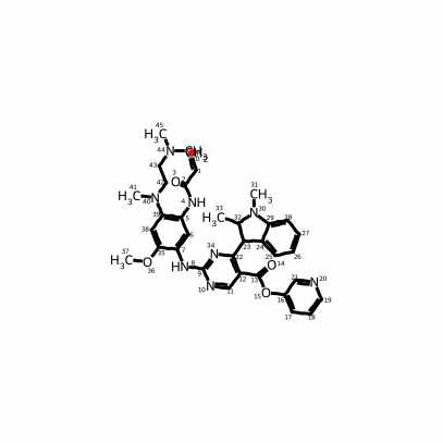 C=CC(=O)Nc1cc(Nc2ncc(C(=O)Oc3cccnc3)c(C3c4ccccc4N(C)C3C)n2)c(OC)cc1N(C)CCN(C)C